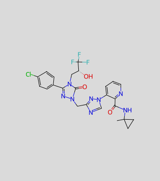 CC1(NC(=O)c2ncccc2-n2cnc(Cn3nc(-c4ccc(Cl)cc4)n(C[C@@H](O)C(F)(F)F)c3=O)n2)CC1